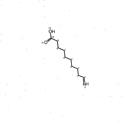 N=CCCCCCCCCC(=O)O